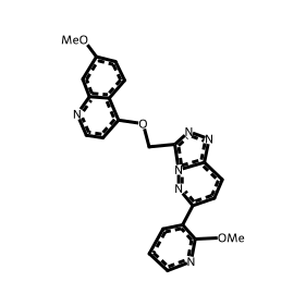 COc1ccc2c(OCc3nnc4ccc(-c5cccnc5OC)nn34)ccnc2c1